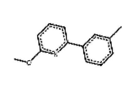 COc1cccc(-c2cccc(C)c2)n1